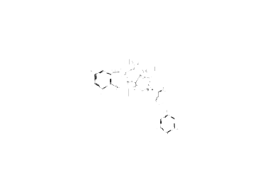 O=C(OCc1ccccc1)N1C[C@H]2C[C@H](Oc3ccccc3F)[C@H](O)[C@@]2(O)C1